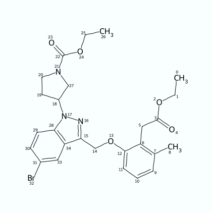 CCOC(=O)Cc1c(C)cccc1OCc1nn(C2CCN(C(=O)OCC)C2)c2ccc(Br)cc12